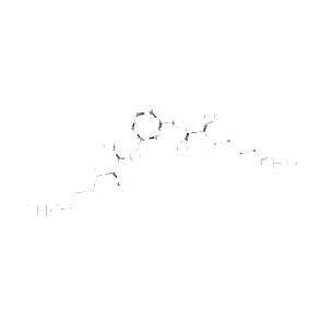 O=CCCCCC(=O)C(=O)Oc1cccc(OC(=O)C(=O)CCCCC=O)c1